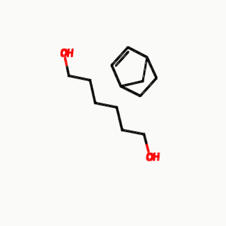 C1=CC2CCC1C2.OCCCCCCO